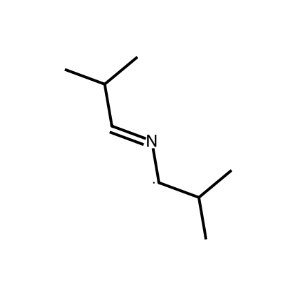 CC(C)[CH]N=CC(C)C